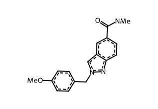 CNC(=O)c1ccc2nn(Cc3ccc(OC)cc3)cc2c1